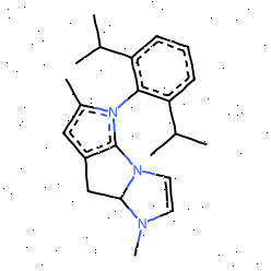 Cc1cc2c(n1-c1c(C(C)C)cccc1C(C)C)N1C=CN(C)C1C2